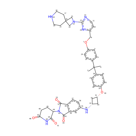 CC(C)(c1ccc(OCc2ccnc(N3CC4(CCNCC4)C3)n2)cc1)c1ccc(O[C@H]2C[C@@H](Nc3ccc4c(c3)C(=O)N(C3CCC(=O)NC3=O)C4=O)C2)cc1